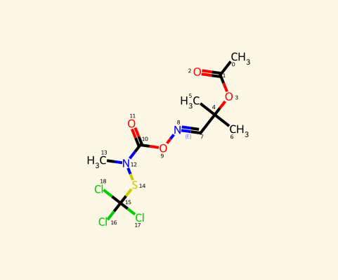 CC(=O)OC(C)(C)/C=N/OC(=O)N(C)SC(Cl)(Cl)Cl